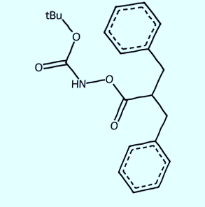 CC(C)(C)OC(=O)NOC(=O)C(Cc1ccccc1)Cc1ccccc1